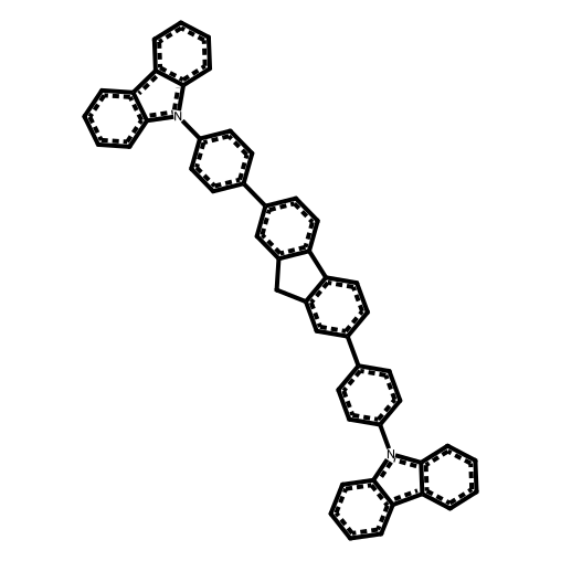 c1ccc2c(c1)c1ccccc1n2-c1ccc(-c2ccc3c(c2)Cc2cc(-c4ccc(-n5c6ccccc6c6ccccc65)cc4)ccc2-3)cc1